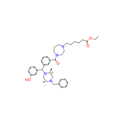 CCOC(=O)CCCCCN1CCCN(C(=O)c2cccc(C(c3cccc(O)c3)N3C[C@@H](C)N(Cc4ccccc4)C[C@@H]3C)c2)CC1